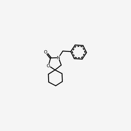 O=C1OC2(CCCCC2)CN1Cc1ccccc1